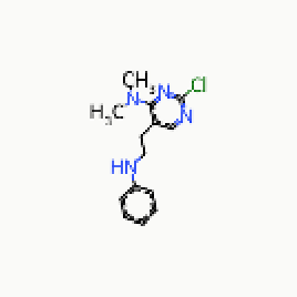 CN(C)c1nc(Cl)ncc1CCNc1ccccc1